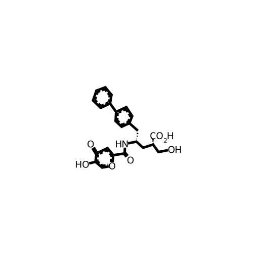 O=C(N[C@H](Cc1ccc(-c2ccccc2)cc1)C[C@@H](CO)C(=O)O)c1cc(=O)c(O)co1